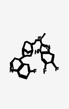 C[C@H](CC1CC2CC1CC2C1CC=Nc2ccc(F)cc21)c1nc2cc(F)c(F)cc2[nH]1